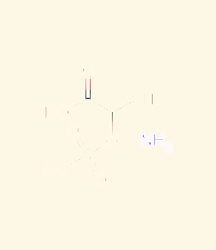 CC(OS(=O)(=O)O)C(=O)O.N